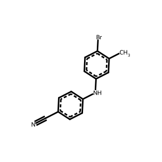 Cc1cc(Nc2ccc(C#N)cc2)ccc1Br